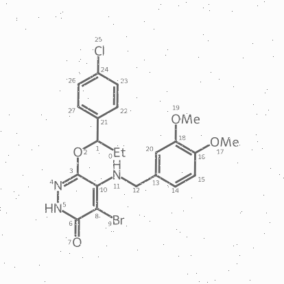 CCC(Oc1n[nH]c(=O)c(Br)c1NCc1ccc(OC)c(OC)c1)c1ccc(Cl)cc1